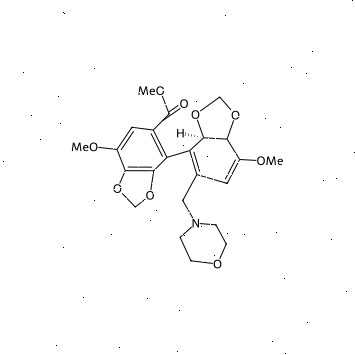 COC(=O)c1cc(OC)c2c(c1C1=C(CN3CCOCC3)C=C(OC)C3OCO[C@H]13)OCO2